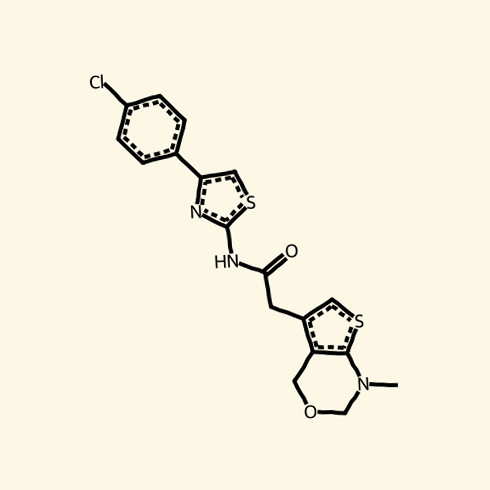 CN1COCc2c(CC(=O)Nc3nc(-c4ccc(Cl)cc4)cs3)csc21